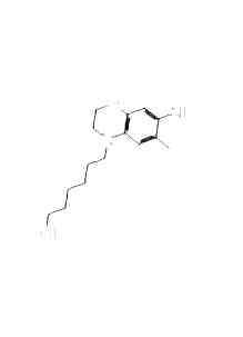 Cc1cc2c(cc1N)OCCN2CCCCCCO